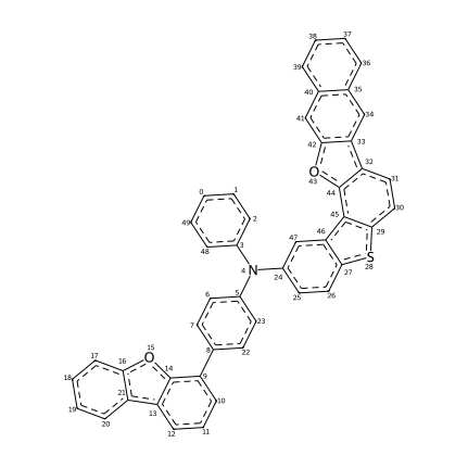 c1ccc(N(c2ccc(-c3cccc4c3oc3ccccc34)cc2)c2ccc3sc4ccc5c6cc7ccccc7cc6oc5c4c3c2)cc1